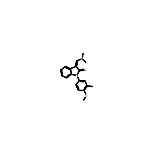 COc1ccc(N2C(=O)C(=CN(C)C)c3ccccc32)cc1C